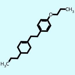 CCCOc1ccc(CCC2=CCC(CCC)CC2)cc1